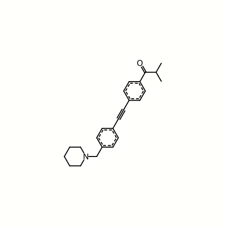 CC(C)C(=O)c1ccc(C#Cc2ccc(CN3CCCCC3)cc2)cc1